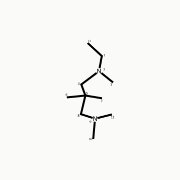 CCN(C)CC(C)(C)CN(C)C